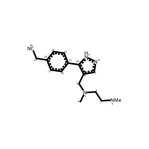 CNCCN(C)Cc1cn[nH]c1-c1ccc(CC#N)cc1